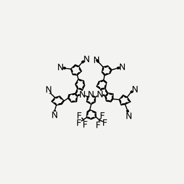 N#Cc1cc(C#N)cc(-c2ccc3c(c2)c2cc(-c4cc(C#N)cc(C#N)c4)ccc2n3-c2cc(-c3cc(C(F)(F)F)cc(C(F)(F)F)c3)cc(-n3c4ccc(-c5cc(C#N)cc(C#N)c5)cc4c4cc(-c5cc(C#N)cc(C#N)c5)ccc43)n2)c1